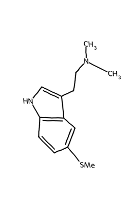 CSc1ccc2[nH]cc(CCN(C)C)c2c1